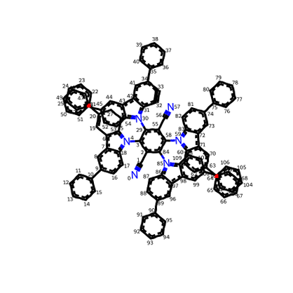 N#Cc1c(-n2c3c(c4cc(-c5ccccc5)ccc42)C=C(c2ccccc2)CC3)c(-n2c3c#cc(-c4ccccc4)cc3c3cc(-c4ccccc4)ccc32)c(C#N)c(-n2c3ccc(-c4ccccc4)cc3c3cc(-c4ccccc4)ccc32)c1-n1c2ccc(-c3ccccc3)cc2c2cc(-c3ccccc3)ccc21